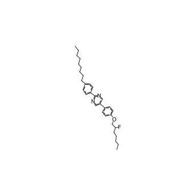 CCCCCCCCCc1ccc(-c2ncc(-c3ccc(OCC(F)CCCCC)cc3)cn2)cc1